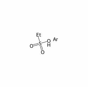 CCS(=O)(=O)O.[Ar]